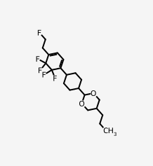 CCCC1COC(C2CCC(C3=CC=C(CCF)C(F)(F)C3(F)F)CC2)OC1